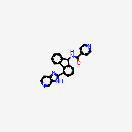 O=C(NC1c2ccccc2-c2c(-c3nc4ccncc4[nH]3)cccc21)c1ccncc1